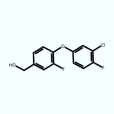 OCc1ccc(Oc2ccc(F)c(Cl)c2)c(F)c1